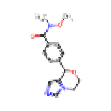 CON(C)C(=O)c1ccc(C2OCCn3cncc32)cc1